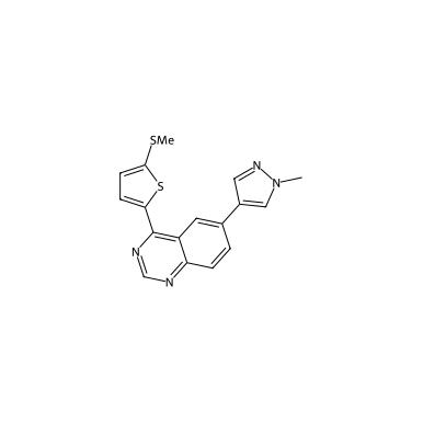 CSc1ccc(-c2ncnc3ccc(-c4cnn(C)c4)cc23)s1